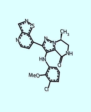 COc1c(Cl)cccc1Nc1c(-c2ccnc3cnsc23)nn2c1C(=O)NC[C@@H]2C